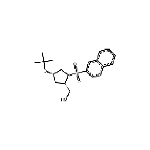 CC(C)(C)O[C@@H]1C[C@@H](CO)N(S(=O)(=O)c2ccc3ccccc3c2)C1